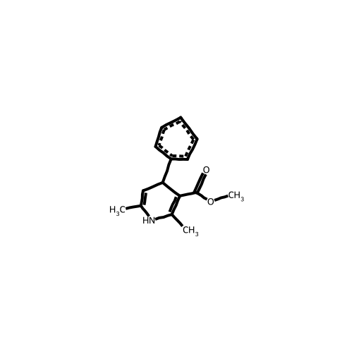 COC(=O)C1=C(C)NC(C)=CC1c1ccccc1